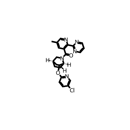 Cc1cnc(-c2ncccn2)c(C(=O)N2C[C@@H]3CC[C@H]2[C@H](Oc2ccc(Cl)cn2)C3)c1